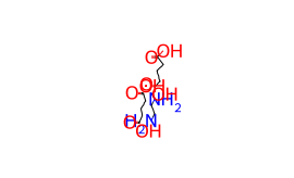 NCCN.O=C(O)CCCC(=O)O.O=C(O)CCCC(=O)O